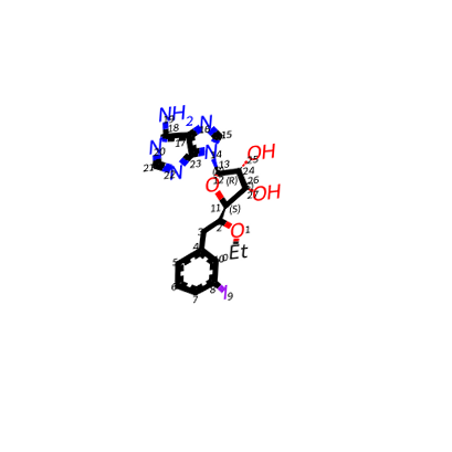 CCOC(Cc1cccc(I)c1)[C@H]1O[C@@H](n2cnc3c(N)ncnc32)[C@H](O)[C@@H]1O